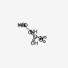 CC(CSc1nc(-c2ccccc2)c(-c2ccccc2)o1)CC(OC(C)c1ccc(NC(=O)CCCCCCC(=O)NO)cc1)c1ccc(CO)cc1